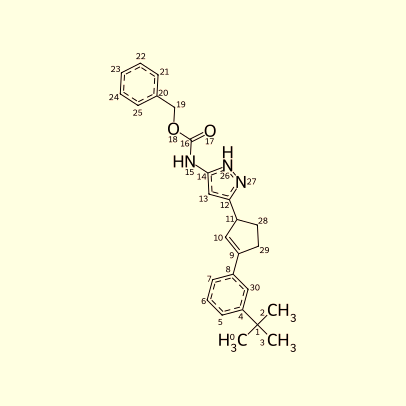 CC(C)(C)c1cccc(C2=CC(c3cc(NC(=O)OCc4ccccc4)[nH]n3)CC2)c1